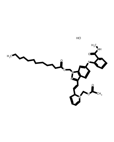 CCCCCCCCCCCC(=O)OCn1nc(/C=C/C2C=CC=CN2COC(C)=O)c2ccc(Sc3ccccc3C(=O)NC)cc21.Cl